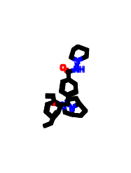 C=CCN1CCC2CCC(C1)N2C(C1=CCC(C(=O)NN2CCCCC2)C=C1)c1cccc(CC)c1